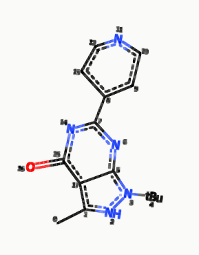 Cc1[nH]n(C(C)(C)C)c2nc(-c3ccncc3)nc(=O)c1-2